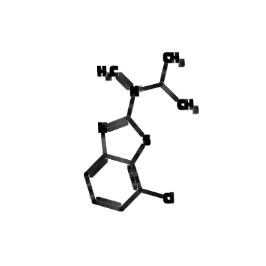 C=[N+](c1nc2cccc(Cl)c2s1)C(C)C